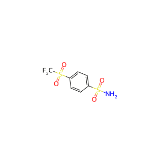 NS(=O)(=O)c1ccc(S(=O)(=O)C(F)(F)F)cc1